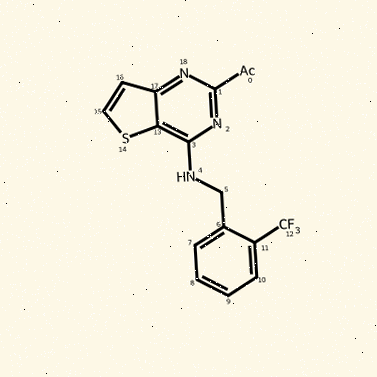 CC(=O)c1nc(NCc2ccccc2C(F)(F)F)c2sccc2n1